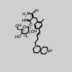 Cc1cc(/C=C/CCN2CCCC3(CCNCC3)C2)ccc1C/C(C(=N)O[C@@H]1O[C@H](CO)[C@@H](O)[C@H](C)[C@H]1O)=C(/N)C(C)C